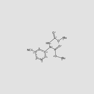 CC(C)(C)OC(=O)NN(C(=O)OC(C)(C)C)c1cncc(C#N)c1